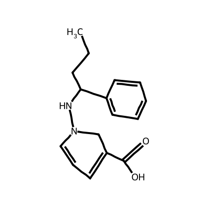 CCCC(NN1C=CC=C(C(=O)O)C1)c1ccccc1